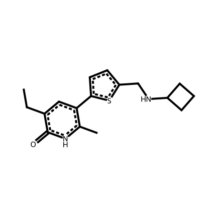 CCc1cc(-c2ccc(CNC3CCC3)s2)c(C)[nH]c1=O